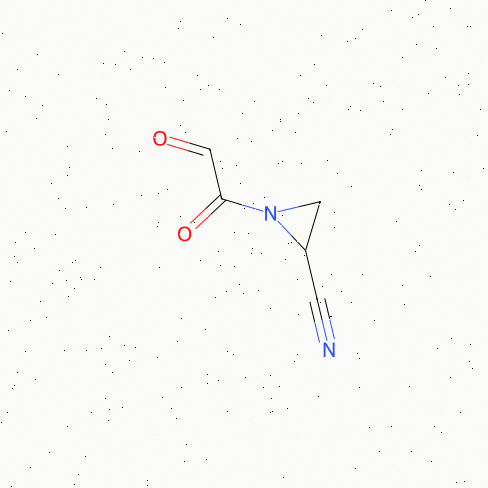 N#CC1CN1C(=O)C=O